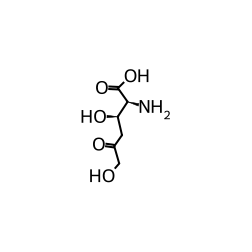 N[C@H](C(=O)O)[C@H](O)CC(=O)CO